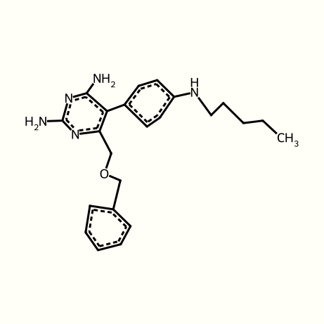 CCCCCNc1ccc(-c2c(N)nc(N)nc2COCc2ccccc2)cc1